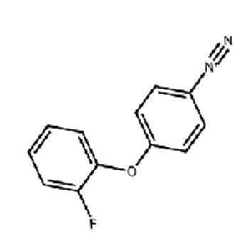 N#[N+]c1ccc(Oc2ccccc2F)cc1